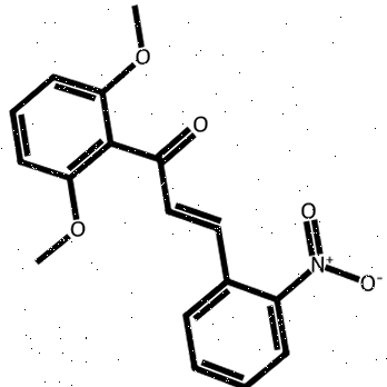 COc1cccc(OC)c1C(=O)C=Cc1ccccc1[N+](=O)[O-]